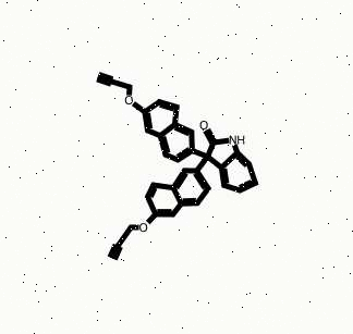 C#CCOc1ccc2cc(C3(c4ccc5cc(OCC#C)ccc5c4)C(=O)Nc4ccccc43)ccc2c1